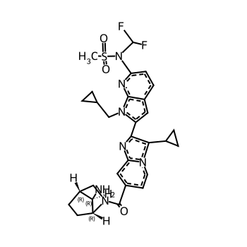 CS(=O)(=O)N(c1ccc2cc(-c3nc4cc(C(=O)N5C[C@H]6CC[C@@H]5[C@@H]6N)ccn4c3C3CC3)n(CC3CC3)c2n1)C(F)F